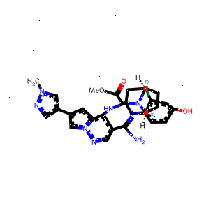 COC(=O)CN1[C@@H]2CC[C@H]1CC(Nc1c(C(N)=Nc3ccc(O)cc3Cl)cnn3cc(-c4cnn(C)c4)cc13)C2